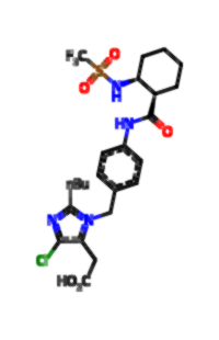 CCCCc1nc(Cl)c(CC(=O)O)n1Cc1ccc(NC(=O)[C@@H]2CCCC[C@@H]2NS(=O)(=O)C(F)(F)F)cc1